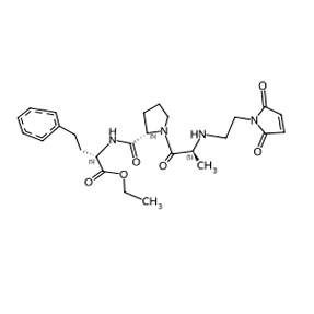 CCOC(=O)[C@H](CCc1ccccc1)NC(=O)[C@@H]1CCCN1C(=O)[C@H](C)NCCN1C(=O)C=CC1=O